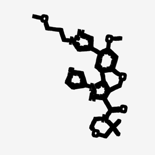 COCCCn1cc(-c2cc3c(cc2OC)OCc2c(C(=O)N4CCOCC4(C)C)nn(-c4ccsc4)c2-3)cn1